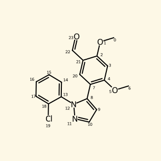 COc1cc(OC)c(-c2ccnn2-c2ccccc2Cl)cc1C=O